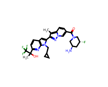 Cc1c(-c2cc3ccc(C(C)(O)C(F)(F)F)nc3n2CC2CC2)nn2cc(C(=O)N3C[C@H](N)C[C@@H](F)C3)ccc12